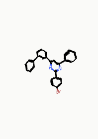 Brc1ccc(-c2nc(-c3ccccc3)cc(-c3cccc(-c4ccccc4)c3)n2)cc1